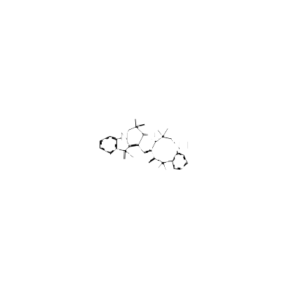 C=C1C2=CC3=C4N(CC(C)(C)C3OC2C(C)(C)CNc2ccccc2C1(C)C)c1ccccc1C4(C)C